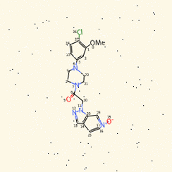 COc1cc(N2CCN(C(=O)Cn3ncc4cc[n+]([O-])cc43)CC2)ccc1Cl